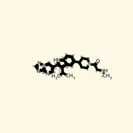 CNCC(=O)N1CCC(c2ccc3[nH]c(-c4cnc5ncnn5c4)c(C(C)C)c3c2)CC1